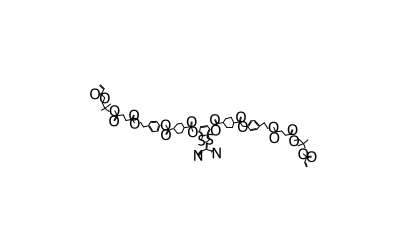 C=CC(=O)OCC(C)(C)COC(=O)CCC(=O)OCCc1ccc(OC(=O)C2CCC(C(=O)Oc3ccc(OC(=O)C4CCC(C(=O)Oc5ccc(CCOC(=O)CCC(=O)OCC(C)(C)COC(=O)C=C)cc5)CC4)c4c3SC(=C(C#N)C#N)S4)CC2)cc1